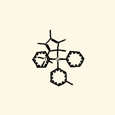 CC1=C(C)C(C)([Si](c2ccccc2)(c2ccccc2)c2cccc(C)c2)[C]([Ti]([CH3])([CH3])[CH3])=C1C